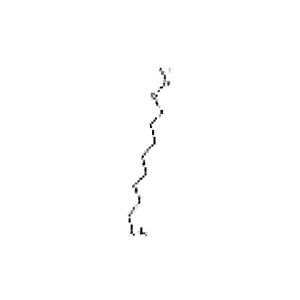 CCCCCCCCOOOO